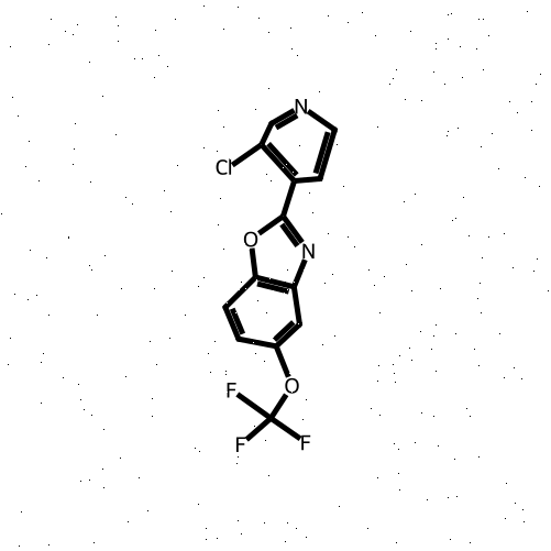 FC(F)(F)Oc1ccc2oc(-c3ccncc3Cl)nc2c1